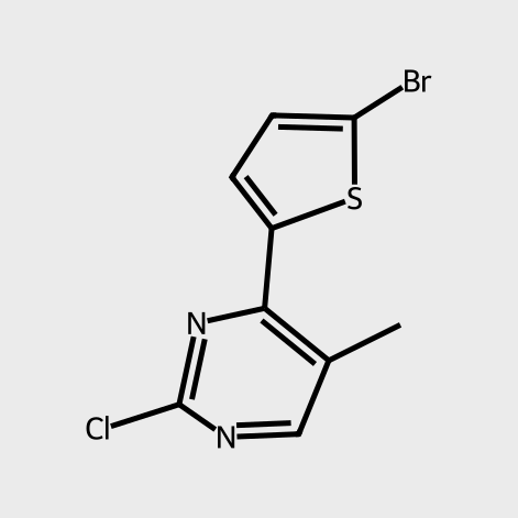 Cc1cnc(Cl)nc1-c1ccc(Br)s1